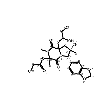 CN1C(=O)C2(SC(O)CCl)C[C@](C)(C#N)[C@H](c3ccc4c(c3)OCO4)N2C(=O)[C@]1(C)SC(=O)CCl